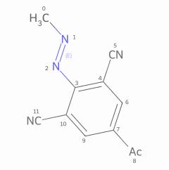 C/N=N/c1c(C#N)cc(C(C)=O)cc1C#N